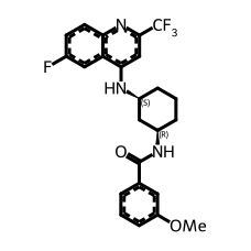 COc1cccc(C(=O)N[C@@H]2CCC[C@H](Nc3cc(C(F)(F)F)nc4ccc(F)cc34)C2)c1